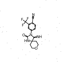 N#Cc1ccc(N2C(=N)C3(CCOCC3)NC2=O)cc1C(F)(F)F